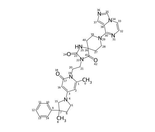 Cc1cc(N2CCC(C)(c3ccccc3)C2)cc(=O)n1CCN1C(=O)NC2(CCN(c3nccn4cncc34)CC2)C1=O